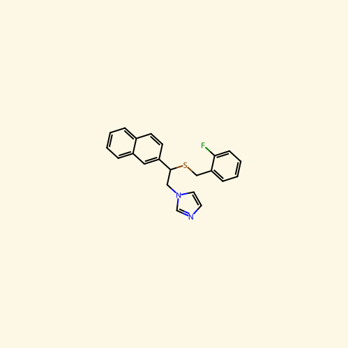 Fc1ccccc1CSC(Cn1ccnc1)c1ccc2ccccc2c1